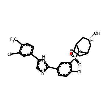 C[C@@H]1CC2C[C@@H](O)CC1N2S(=O)(=O)c1cc(-c2ncc(-c3ccc(C(F)(F)F)c(Cl)c3)[nH]2)ccc1Cl